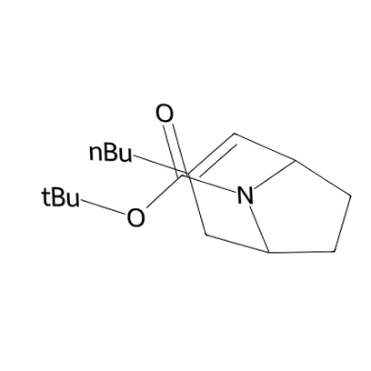 CCCCC1=CC2CCC(C1)N2C(=O)OC(C)(C)C